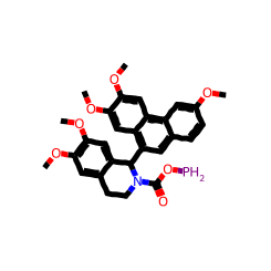 COc1ccc2cc(C3c4cc(OC)c(OC)cc4CCN3C(=O)OP)c3cc(OC)c(OC)cc3c2c1